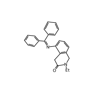 CCN1Cc2cccc(N=C(c3ccccc3)c3ccccc3)c2CC1=O